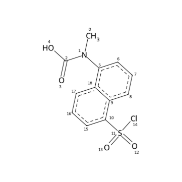 CN(C(=O)O)c1cccc2c(S(=O)(=O)Cl)cccc12